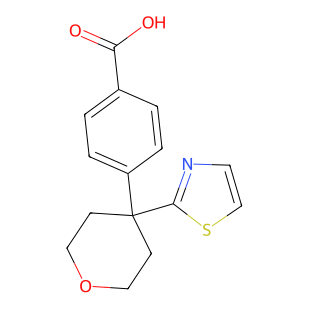 O=C(O)c1ccc(C2(c3nccs3)CCOCC2)cc1